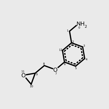 NCc1cccc(OCC2CO2)c1